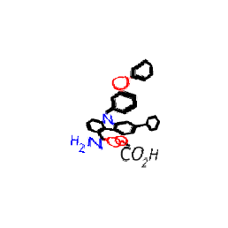 NC(=O)c1cccc2c1c1c(OCC(=O)O)cc(-c3ccccc3)cc1n2Cc1cccc(Oc2ccccc2)c1